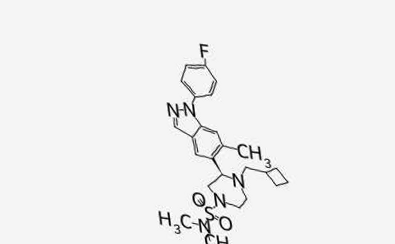 Cc1cc2c(cnn2-c2ccc(F)cc2)cc1[C@@H]1CN(S(=O)(=O)N(C)C)CCN1CC1CCC1